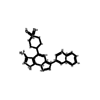 Cc1n[nH]c2c1c(C1CCS(=O)(=O)CC1)nc1c(-c3cnc4ccccc4c3)cnn12